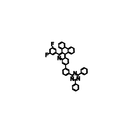 Fc1cc(F)cc(-c2nc3cc(-c4cccc(-c5nc(-c6ccccc6)nc(-c6ccccc6)n5)c4)ccc3c3c4ccccc4c4ccccc4c23)c1